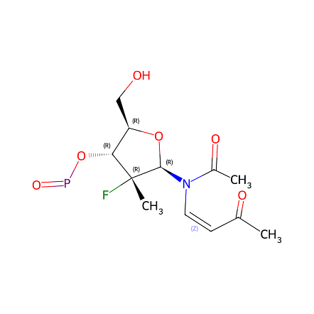 CC(=O)/C=C\N(C(C)=O)[C@@H]1O[C@H](CO)[C@@H](OP=O)[C@@]1(C)F